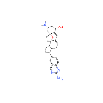 CN(C)[C@@H]1C[C@H](O)C2=CC3=CCC4C(c5ccc6nc(N)ncc6c5)=CCC4[C@@]34CC[C@]2(C1)O4